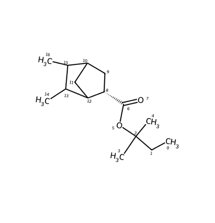 CCC(C)(C)OC(=O)[C@H]1CC2CC1C(C)C2C